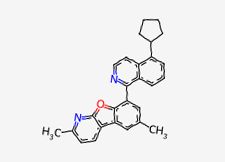 Cc1cc(-c2nccc3c(C4CCCC4)cccc23)c2oc3nc(C)ccc3c2c1